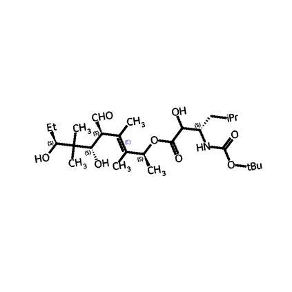 CC[C@H](O)C(C)(C)[C@@H](O)[C@@H](C=O)/C(C)=C(\C)[C@H](C)OC(=O)C(O)[C@H](CC(C)C)NC(=O)OC(C)(C)C